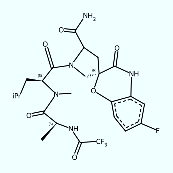 CC(C)C[C@@H](C(=O)N1C[C@@]2(CC1C(N)=O)Oc1ccc(F)cc1NC2=O)N(C)C(=O)[C@H](C)NC(=O)C(F)(F)F